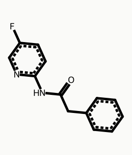 O=C(Cc1ccccc1)Nc1ccc(F)cn1